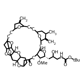 C=C1CC2CCC34CC5OC6C(O3)[C@H]3OC(CCC3O[C@H]6C5O4)CC(=O)CC3[C@H](CC4OC(CCC1O2)CC(C)C4=C)O[C@H](CC(O)CNC(=O)OC(C)(C)C)[C@@H]3OC